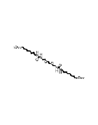 CCCCCCCCCCCCCCCCCCNC(=O)NCCOCCOCCNC(=O)NCCCCCCCCCCCCCCCCCC